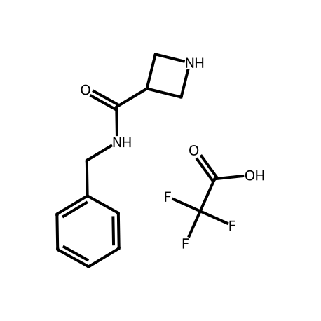 O=C(NCc1ccccc1)C1CNC1.O=C(O)C(F)(F)F